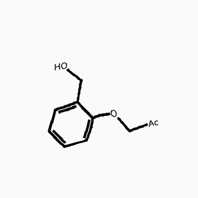 CC(=O)COc1ccccc1CO